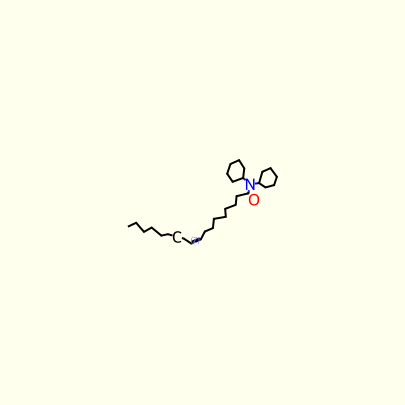 CCCCCCCC/C=C\CCCCCCCC(=O)N(C1CCCCC1)C1CCCCC1